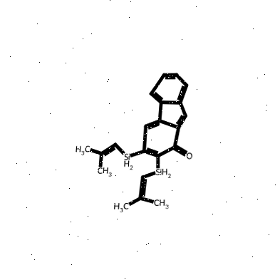 CC(C)=C[SiH2]C1=C([SiH2]C=C(C)C)C(=O)C2=Cc3ccccc3C2=C1